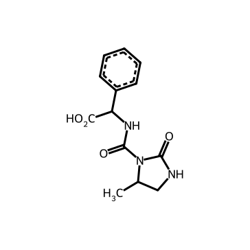 CC1CNC(=O)N1C(=O)NC(C(=O)O)c1ccccc1